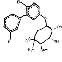 CCc1ccc(O[C@@H]2CC(C)(C)[C@H](OC)[C@@H](O)[C@H]2O)cc1-c1cccc(F)c1